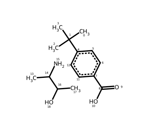 CC(C)(C)c1ccc(C(=O)O)cc1.CC(N)C(C)O